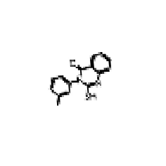 Cc1cccc(-n2c(S)nc3ccccc3c2=O)c1